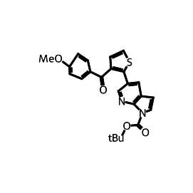 COc1ccc(C(=O)c2ccsc2-c2cnc3c(ccn3C(=O)OC(C)(C)C)c2)cc1